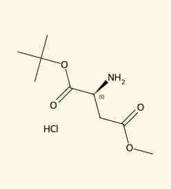 COC(=O)C[C@H](N)C(=O)OC(C)(C)C.Cl